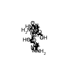 Nc1nc2c(ncn2[C@@H]2OC(CO)C[C@H]2[P@](=O)(S)OCC2O[C@@H](n3ccc4c(N)ncnc43)C[C@@H]2O)c(=O)[nH]1